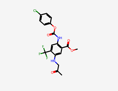 COC(=O)c1cc(NCC(C)=O)c(C(F)(F)F)cc1NC(=O)Oc1ccc(Cl)cc1